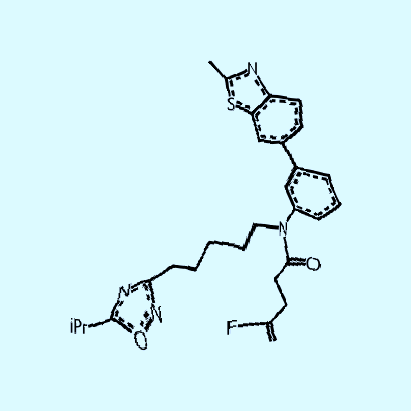 C=C(F)CCC(=O)N(CCCCCc1noc(C(C)C)n1)c1cccc(-c2ccc3nc(C)sc3c2)c1